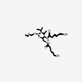 CC/N=C/OP(OC(CNC(=O)CCCCO)CNC(=O)CCCCO)N(C(C)C)C(C)C